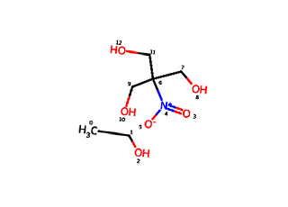 CCO.O=[N+]([O-])C(CO)(CO)CO